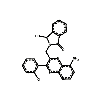 Nc1cccc2nc(-c3ccccc3Cl)c(CN3C(=O)c4ccccc4C3O)nc12